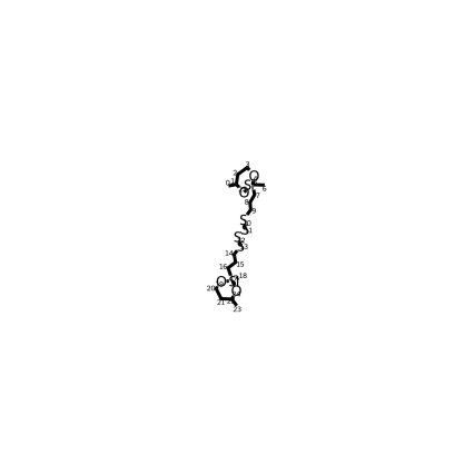 CC1CCO[Si](C)(CCCSSSSCCC[Si]2(C)OCCC(C)O2)O1